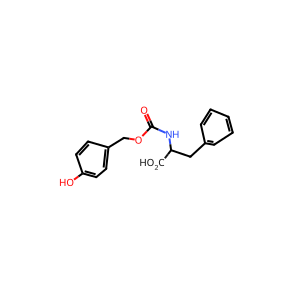 O=C(NC(Cc1ccccc1)C(=O)O)OCc1ccc(O)cc1